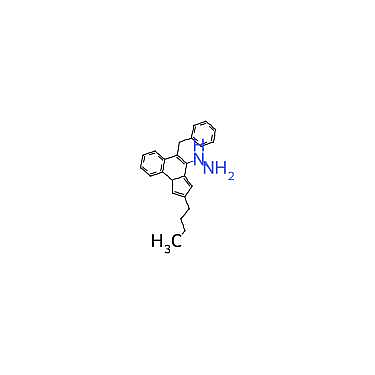 CCCCC1=CC2C(=C1)C(NN)=C(Cc1ccccc1)c1ccccc12